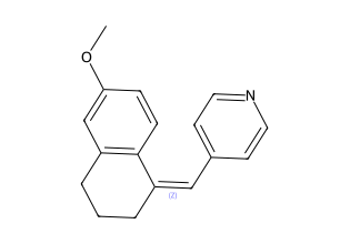 COc1ccc2c(c1)CCC/C2=C/c1ccncc1